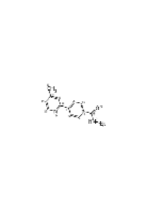 CCNC(=O)c1ccc(-c2cc(C)ccn2)cc1